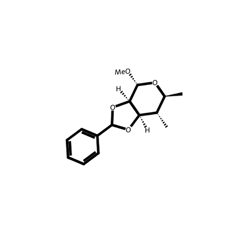 CO[C@@H]1O[C@@H](C)[C@H](C)[C@H]2OC(c3ccccc3)O[C@@H]12